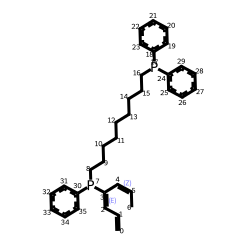 C=C/C=C(\C=C/C)P(CCCCCCCCCP(c1ccccc1)c1ccccc1)c1ccccc1